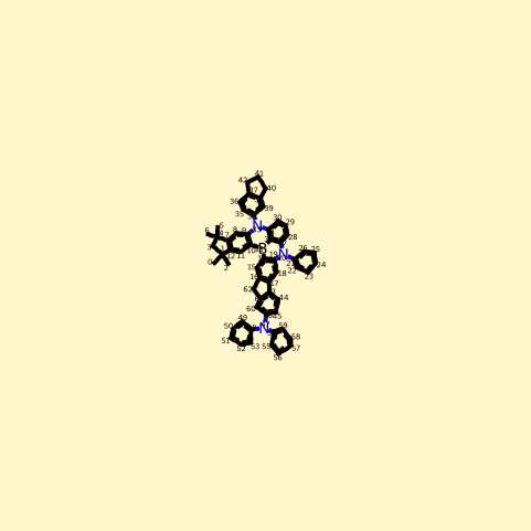 CC1(C)CC(C)(C)c2cc3c(cc21)B1c2cc4c(cc2N(c2ccccc2)c2cccc(c21)N3c1ccc2c(c1)CCC2)-c1ccc(N(c2ccccc2)c2ccccc2)cc1C4